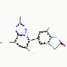 Cc1cc(-c2c(C)cc(C)c3nc(C(F)(F)F)nn23)cc2c1NC(=O)C2